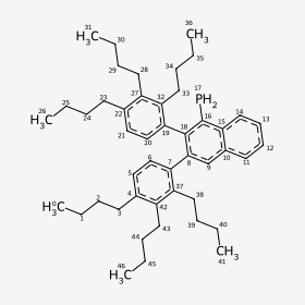 CCCCc1ccc(-c2cc3ccccc3c(P)c2-c2ccc(CCCC)c(CCCC)c2CCCC)c(CCCC)c1CCCC